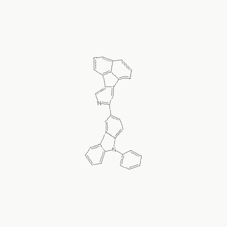 c1ccc(-n2c3ccccc3c3cc(-c4cc5c(cn4)-c4cccc6cccc-5c46)ccc32)cc1